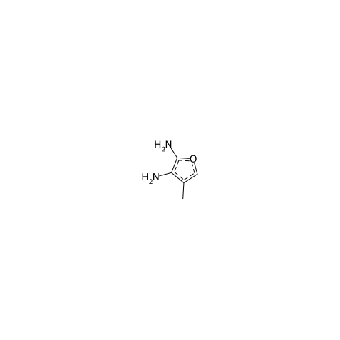 Cc1coc(N)c1N